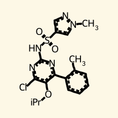 Cc1ccccc1-c1nc(NS(=O)(=O)c2cnn(C)c2)nc(Cl)c1OC(C)C